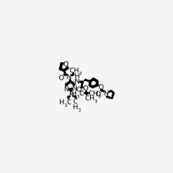 CCN(CC)c1ncc(N(CC)C(=O)c2ccoc2)c(N[C@@H](Cc2ccc(OC(=O)N3CCCC3)cc2)C(=O)OC(C)(C)C)n1